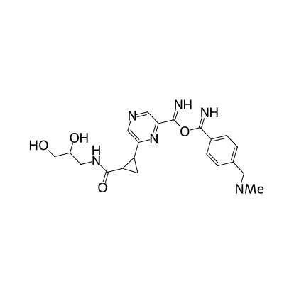 CNCc1ccc(C(=N)OC(=N)c2cncc(C3CC3C(=O)NCC(O)CO)n2)cc1